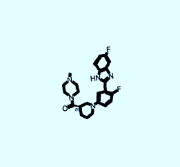 CN1CCN(C(=O)[C@@H]2CCCN(c3ccc(F)c(-c4nc5cc(F)ccc5[nH]4)c3)C2)CC1